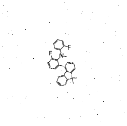 CN(c1ccccc1F)c1c(F)cccc1-c1cccc2c1-c1ccccc1C2(C)C